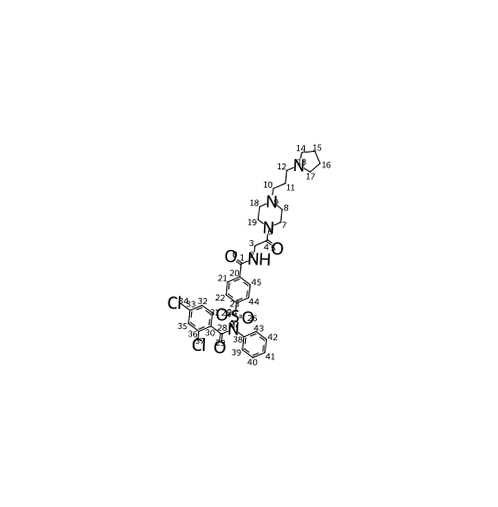 O=C(NCC(=O)N1CCN(CCCN2CCCC2)CC1)c1ccc(S(=O)(=O)N(C(=O)c2ccc(Cl)cc2Cl)c2ccccc2)cc1